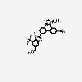 Cn1cnnc1-c1cc(C#N)ccc1-c1cccc(-c2nc3cc(CO)cc(C(F)(F)F)c3[nH]2)c1